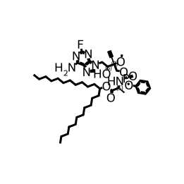 C#C[C@](COP(=O)(N[C@@H](C)C(=O)OC(CCCCCCCCCCC)CCCCCCCCCCC)Oc1ccccc1)(OC)[C@@H](O)Cn1cnc2c(N)nc(F)nc21